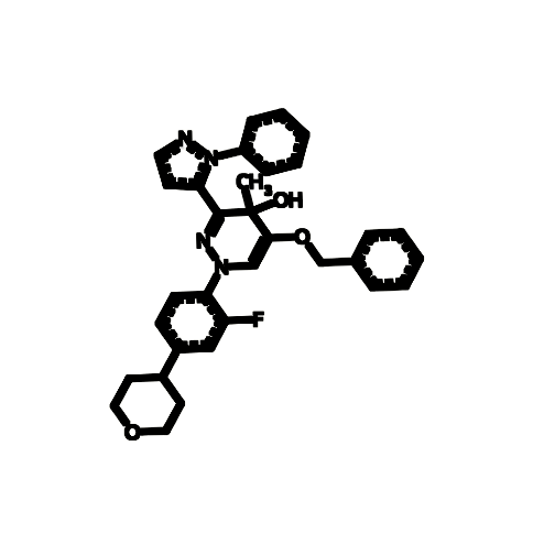 CC1(O)C(OCc2ccccc2)=CN(c2ccc(C3CCOCC3)cc2F)N=C1c1ccnn1-c1ccccc1